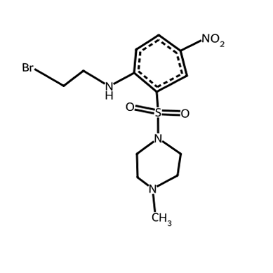 CN1CCN(S(=O)(=O)c2cc([N+](=O)[O-])ccc2NCCBr)CC1